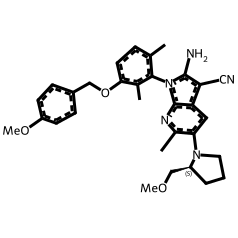 COC[C@@H]1CCCN1c1cc2c(C#N)c(N)n(-c3c(C)ccc(OCc4ccc(OC)cc4)c3C)c2nc1C